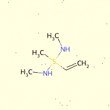 C=CS(C)(NC)NC